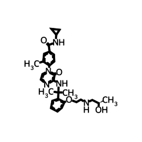 Cc1cc(C(=O)NC2CC2)ccc1-n1ccnc(NC(C)(C)c2ccccc2OCCNC[C@H](C)O)c1=O